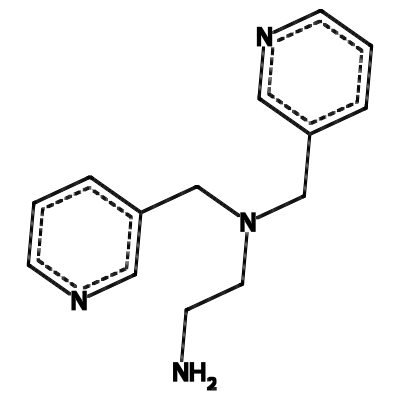 NCCN(Cc1cccnc1)Cc1cccnc1